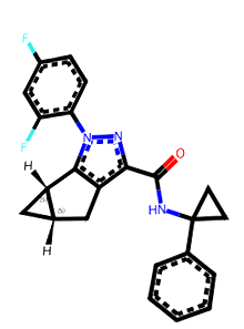 O=C(NC1(c2ccccc2)CC1)c1nn(-c2ccc(F)cc2F)c2c1C[C@@H]1C[C@H]21